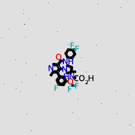 Cc1ncc(C(=O)NC2CCC(F)(F)CC2)c(N2CCC(C)(NC(=O)O)C2)c1-c1cc(F)cc(OC(F)F)c1